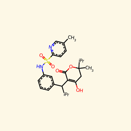 Cc1ccc(S(=O)(=O)Nc2cccc(C(C3=C(O)CC(C)(C(C)C)OC3=O)C(C)C)c2)nc1